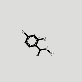 CC(SS)c1ccc(Cl)cc1Cl